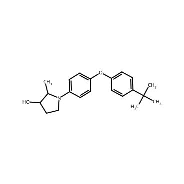 CC1C(O)CCN1c1ccc(Oc2ccc(C(C)(C)C)cc2)cc1